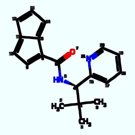 CC(C)(C)[C@H](NC(=O)C1=CC=C2C=CC=C21)c1ccccn1